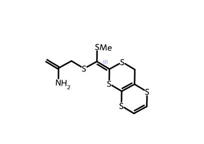 C=C(N)CS/C(SC)=C1/SCC2=C(SC=CS2)S1